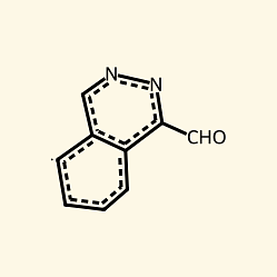 O=Cc1nncc2[c]cccc12